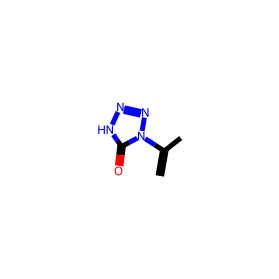 C=C(C)n1nn[nH]c1=O